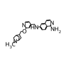 CN1CC2CC1CC2COc1cc(CNc2ccc3c(N)nccc3c2)ccn1